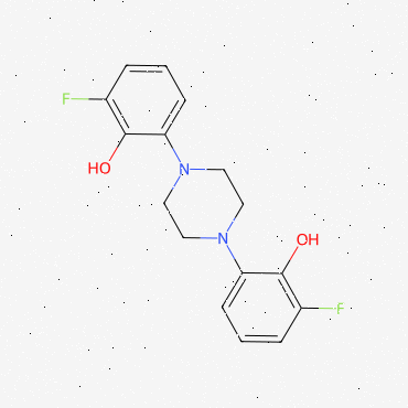 Oc1c(F)cccc1N1CCN(c2cccc(F)c2O)CC1